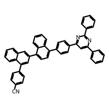 N#Cc1ccc(-c2cc(-c3ccc(-c4ccc(-c5cc(-c6ccccc6)nc(-c6ccccc6)n5)cc4)c4ccccc34)cc3ccccc23)cc1